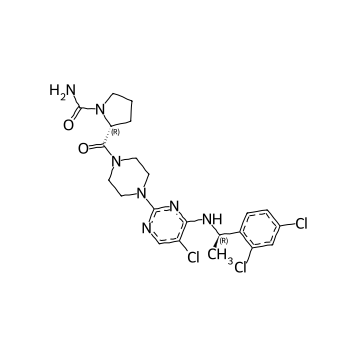 C[C@@H](Nc1nc(N2CCN(C(=O)[C@H]3CCCN3C(N)=O)CC2)ncc1Cl)c1ccc(Cl)cc1Cl